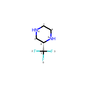 FC(F)(F)[C@@H]1CNCCN1